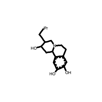 CC(C)CC1CN2CCc3cc(O)c(O)cc3C2CC1O